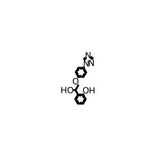 Oc1ccccc1C(O)COc1ccc(-n2cncn2)cc1